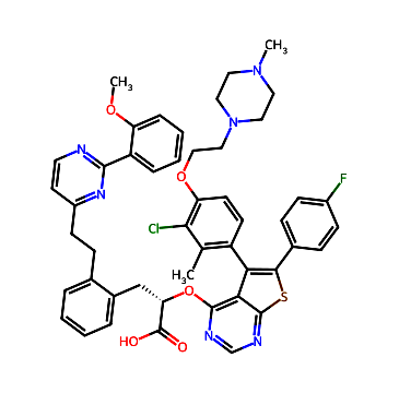 COc1ccccc1-c1nccc(CCc2ccccc2C[C@H](Oc2ncnc3sc(-c4ccc(F)cc4)c(-c4ccc(OCCN5CCN(C)CC5)c(Cl)c4C)c23)C(=O)O)n1